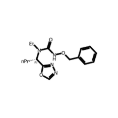 CCC[C@@H](c1nnco1)N(CC)C(=O)NOCc1ccccc1